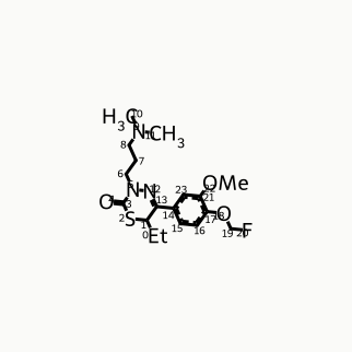 CCC1SC(=O)N(CCCN(C)C)N=C1c1ccc(OCF)c(OC)c1